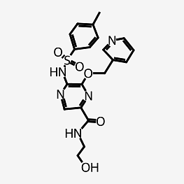 Cc1ccc(S(=O)(=O)Nc2ncc(C(=O)NCCO)nc2OCc2cccnc2)cc1